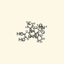 CNC(=O)c1c(C=O)c2c3ccccc3n(C3CC(O)C(O)CO3)c2c2[nH]c3ccccc3c12